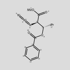 COC(=O)[C@H](N=[N+]=[N-])[C@@H](OC(=O)c1ccccc1)C(C)C